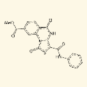 COC(=O)c1ccc2c(=O)[nH]c3c(C(=O)Nc4ccccc4)sc(=O)n3c2c1